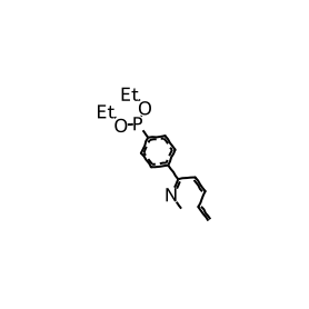 C=C/C=C\C(=N/C)c1ccc(P(OCC)OCC)cc1